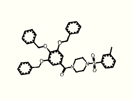 Cc1cccc(S(=O)(=O)N2CCN(C(=O)c3cc(OCc4ccccc4)c(OCc4ccccc4)c(OCc4ccccc4)c3)CC2)c1